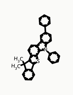 CC1(C)c2ccccc2-c2sc3c(ccc4c5cc(-c6ccccc6)ccc5n(-c5ccccc5)c43)c21